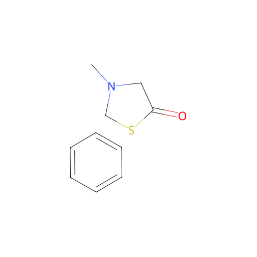 CN1CSC(=O)C1.c1ccccc1